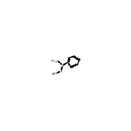 CCCON(c1ccccc1)S(=O)(=O)O